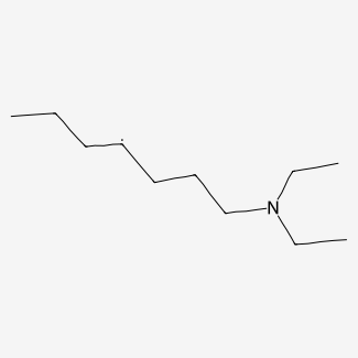 CCC[CH]CCCN(CC)CC